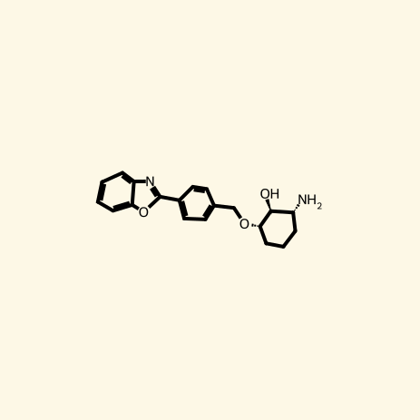 N[C@@H]1CCC[C@H](OCc2ccc(-c3nc4ccccc4o3)cc2)[C@H]1O